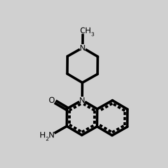 CN1CCC(n2c(=O)c(N)cc3ccccc32)CC1